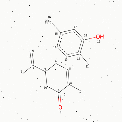 C=C(C)C1CC=C(C)C(=O)C1.Cc1ccc(C(C)C)cc1O